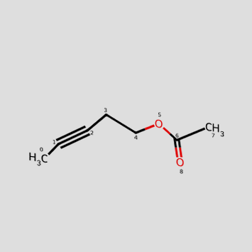 CC#CCCOC(C)=O